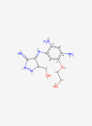 N=C1N=NC(CO)C1=Nc1cc(OCCO)c(N)cc1N